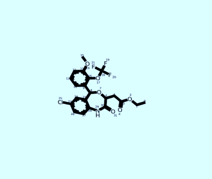 CCOC(=O)CC1OC(c2cccc(OC)c2OC(F)(F)F)c2cc(Cl)ccc2NC1=O